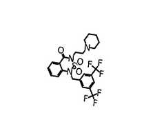 O=C1c2ccccc2N(Cc2cc(C(F)(F)F)cc(C(F)(F)F)c2)S(=O)(=O)N1CCN1CCCCC1